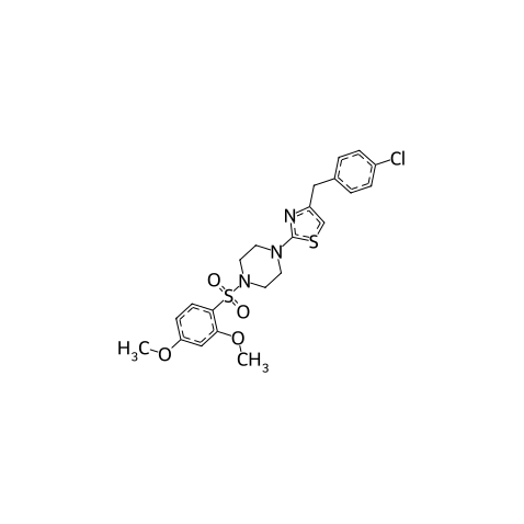 COc1ccc(S(=O)(=O)N2CCN(c3nc(Cc4ccc(Cl)cc4)cs3)CC2)c(OC)c1